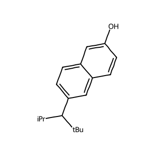 CC(C)C(c1ccc2cc(O)ccc2c1)C(C)(C)C